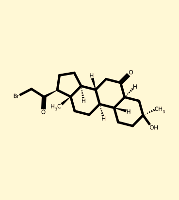 C[C@]1(O)CC[C@@H]2[C@H]3CC[C@]4(C)[C@@H](C(=O)CBr)CC[C@H]4[C@@H]3CC(=O)[C@H]2C1